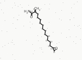 C=C(CCCCCCCCCCCCC1CO1)C(N)=O